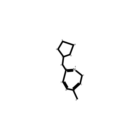 CC1=CCN=C(CC2CCCC2)C=C1